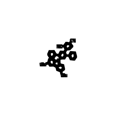 CC(C)(C)c1ccc2c(c1)c1cc(C(C)(C)C)ccc1n2-c1cc(-c2ccccc2)c(-c2ccc(C#N)cc2C#N)cc1-c1ccccc1